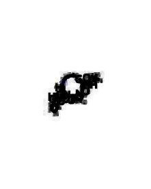 C[C@@H]1C[C@H]2C(=O)N[C@]3(C(=O)NS(=O)(=O)N4CCCC4)C[C@H]3/C=C\CCCCC[C@H](NC(=O)OC(C)(C)C)C(=O)N2C1